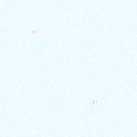 Cc1cc2cc(CCO)c1o2